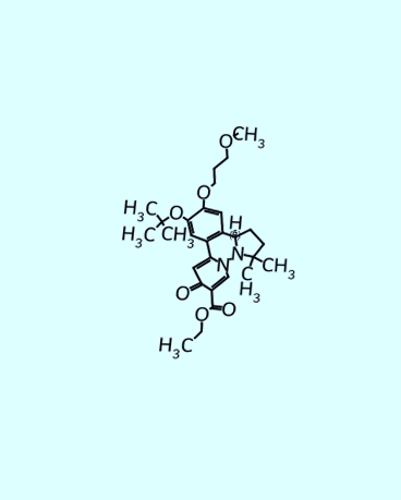 CCOC(=O)c1cn2c(cc1=O)-c1cc(OC(C)(C)C)c(OCCCOC)cc1[C@H]1CCC(C)(C)N12